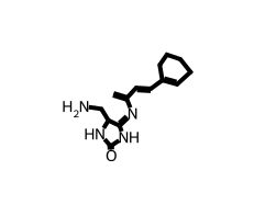 C=C(/C=C/C1=CCCCC1)/N=C1/NC(=O)NC1CN